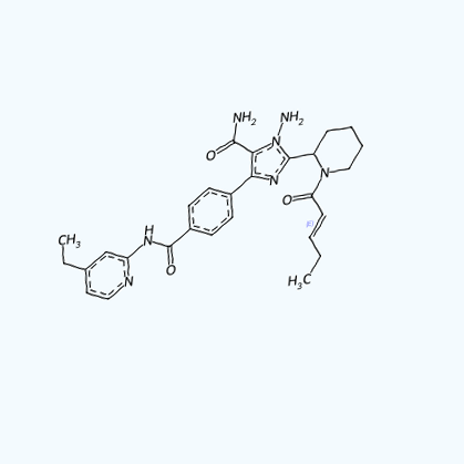 CC/C=C/C(=O)N1CCCCC1c1nc(-c2ccc(C(=O)Nc3cc(CC)ccn3)cc2)c(C(N)=O)n1N